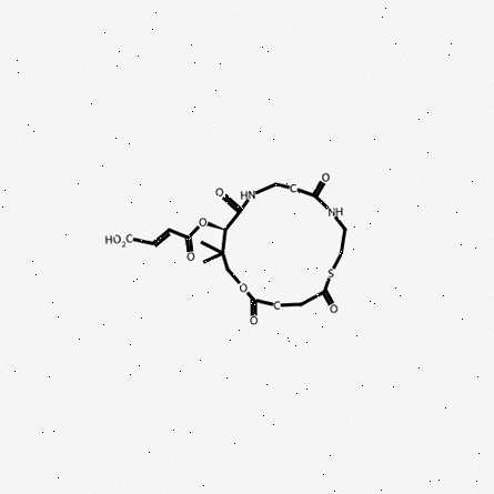 CC1(C)COC(=O)CCC(=O)SCCNC(=O)CCNC(=O)[C@@H]1OC(=O)/C=C/C(=O)O